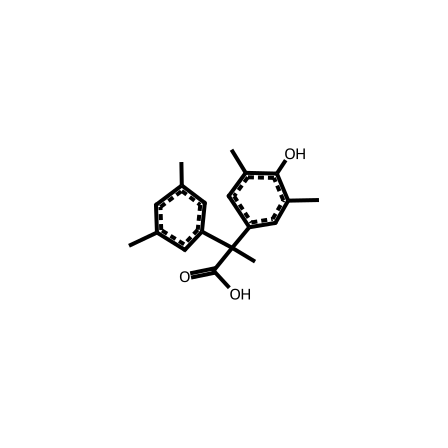 Cc1cc(C)cc(C(C)(C(=O)O)c2cc(C)c(O)c(C)c2)c1